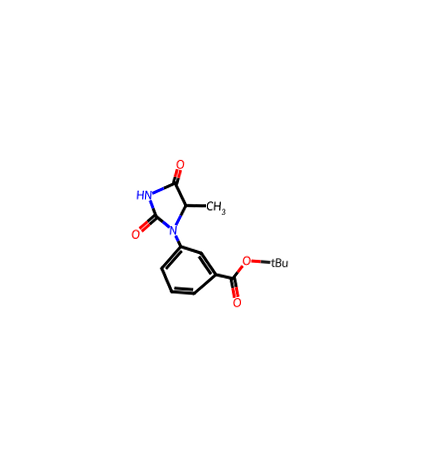 CC1C(=O)NC(=O)N1c1cccc(C(=O)OC(C)(C)C)c1